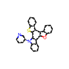 c1cncc(-n2c3ccccc3c3c4oc5ccccc5c4c4c5ccccc5sc4c32)c1